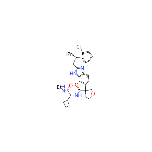 CCNC(=O)[C@H](NC(=O)C1(c2ccc3nc(C[C@H](c4ccccc4Cl)C(C)C)[nH]c3c2)CCOC1)C1CCC1